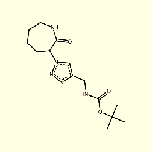 CC(C)(C)OC(=O)NCc1cn(C2CCCCNC2=O)nn1